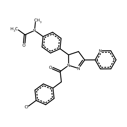 CC(=O)N(C)c1ccc(C2CC(c3ccccn3)=NN2C(=O)Cc2ccc(Cl)cc2)cc1